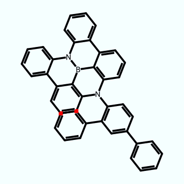 c1ccc(-c2ccc(N3c4cccc5c4B4c6c(cccc63)-c3ccccc3N4c3ccccc3-5)c(-c3ccccc3)c2)cc1